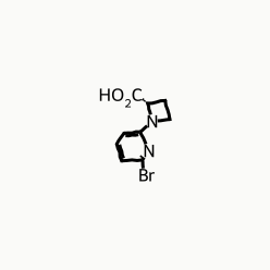 O=C(O)[C@@H]1CCN1c1cccc(Br)n1